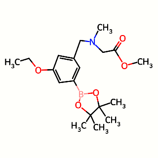 CCOc1cc(CN(C)CC(=O)OC)cc(B2OC(C)(C)C(C)(C)O2)c1